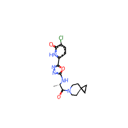 C[C@H](Nc1nnc(-c2ccc(Cl)c(=O)[nH]2)o1)C(=O)N1CCC2(CC1)CC2